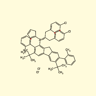 Cc1ccccc1-c1cc2c(cc1C(C)(C)C)-c1cc(C(C)(C)C)c(-c3ccccc3C)[c]([Zr+2]([C]3=CC=CC3)=[C](Cc3ccc(Cl)cc3)Cc3ccc(Cl)cc3)c1C2.[Cl-].[Cl-]